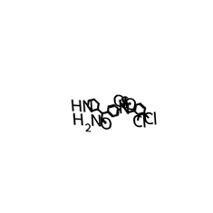 CS(=O)(=O)N(Cc1cccc(Cl)c1Cl)c1ccc(C(C(N)=O)C2CCCNC2)cc1